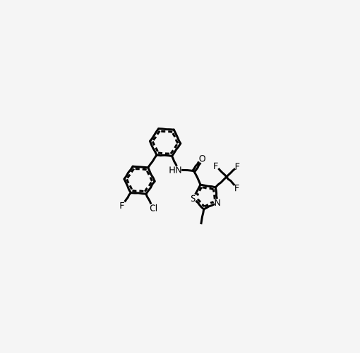 Cc1nc(C(F)(F)F)c(C(=O)Nc2ccccc2-c2ccc(F)c(Cl)c2)s1